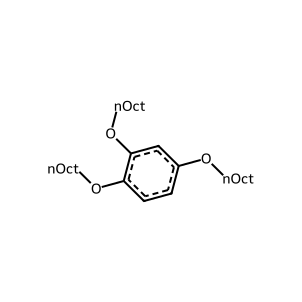 CCCCCCCCOc1ccc(OCCCCCCCC)c(OCCCCCCCC)c1